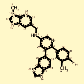 Cc1cc(-c2ncc(NCc3cnc4c(c3)ncn4C)cc2-c2ccc3ncsc3c2)ccc1F